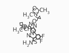 C[C@@H]1COC[C@@H](C)N(CC2(COc3nc(NCC4(N(C)C)CCC4)c4cnc(-c5cc(F)c(F)c6sc(N)c(C#N)c56)cc4n3)CC2)C1